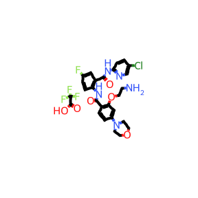 NCCOc1cc(N2CCOCC2)ccc1C(=O)Nc1ccc(F)cc1C(=O)Nc1ccc(Cl)cn1.O=C(O)C(F)(F)F